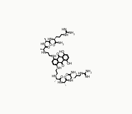 C[C@H](NCCNc1ccc(NCCN[C@@H](C)C(=O)N[C@@H](C)C(=O)N[C@@H](CCCNC(=N)N)C(N)=O)c2c1C(=O)c1c(O)ccc(O)c1C2=O)C(=O)N[C@@H](C)C(=O)N[C@@H](CCCNC(=N)N)C(N)=O